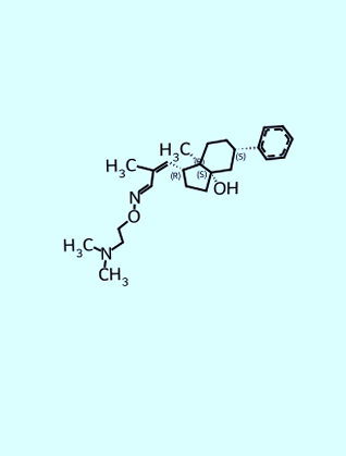 CC(C=NOCCN(C)C)=C[C@H]1CC[C@]2(O)C[C@@H](c3ccccc3)CC[C@]12C